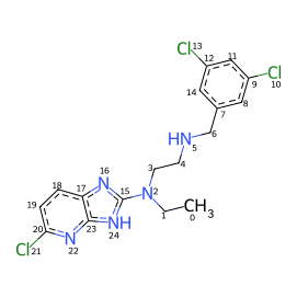 CCN(CCNCc1cc(Cl)cc(Cl)c1)c1nc2ccc(Cl)nc2[nH]1